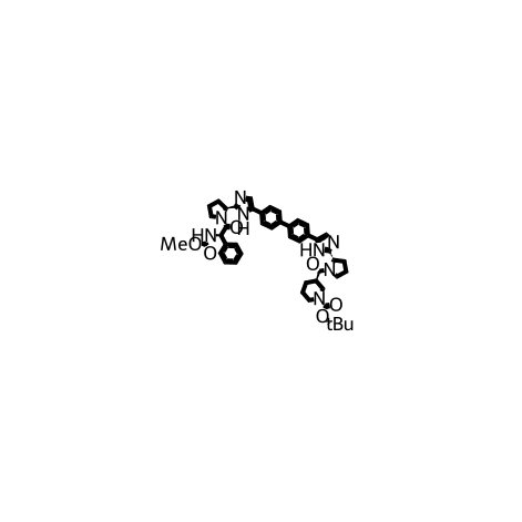 COC(=O)N[C@@H](C(=O)N1CCC[C@H]1c1ncc(-c2ccc(-c3ccc(-c4cnc([C@@H]5CCCN5C(=O)[C@@H]5CCCN(C(=O)OC(C)(C)C)C5)[nH]4)cc3)cc2)[nH]1)c1ccccc1